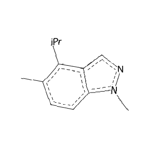 Cc1ccc2c(cnn2C)c1C(C)C